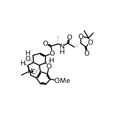 COc1ccc2c3c1O[C@@H]1C(OC(=O)[C@H](C)NC(=O)C[C@@H]4OC(C)(C)OC4=O)=CC[C@]4(O)[C@H](C2)N(C)CC[C@@]314